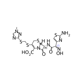 Cn1cnc(SCSC2=C(C(=O)O)N3C(=O)[C@@H](NC(=O)/C(=N\O)c4csc(N)n4)[C@H]3SC2)n1